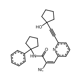 N#CC(=Cc1cccc(C#CC2(O)CCCC2)n1)C(=O)NC1(c2ccccc2)CCCC1